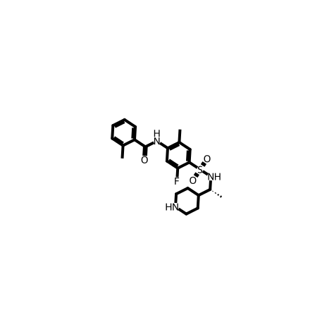 Cc1cc(S(=O)(=O)N[C@H](C)C2CCNCC2)c(F)cc1NC(=O)c1ccccc1C